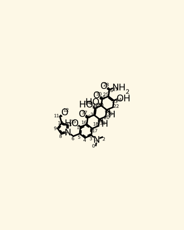 CN(C)c1cc(Cn2ccc(C=O)c2)c(O)c2c1C[C@H]1C[C@H]3CC(O)=C(C(N)=O)C(=O)[C@@]3(O)C(O)=C1C2=O